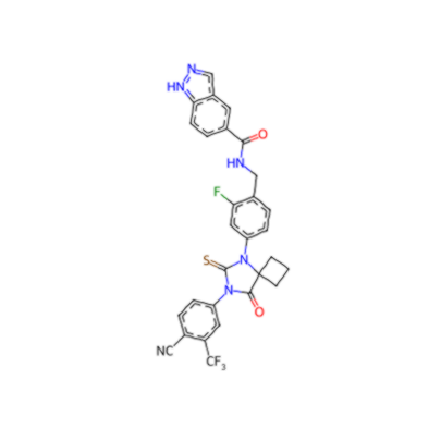 N#Cc1ccc(N2C(=O)C3(CCC3)N(c3ccc(CNC(=O)c4ccc5[nH]ncc5c4)c(F)c3)C2=S)cc1C(F)(F)F